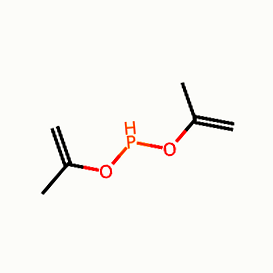 C=C(C)OPOC(=C)C